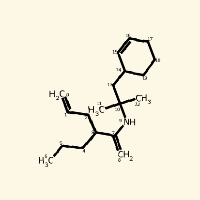 C=CCC(CCC)C(=C)NC(C)(C)CC1C=CCCC1